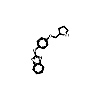 c1ccc2sc(Oc3ccc(OCC4CCCN4)cc3)nc2c1